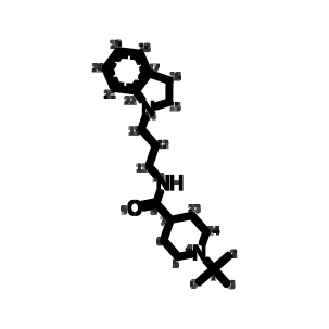 CC(C)(C)N1CCC(C(=O)NCCCN2CCc3ccccc32)CC1